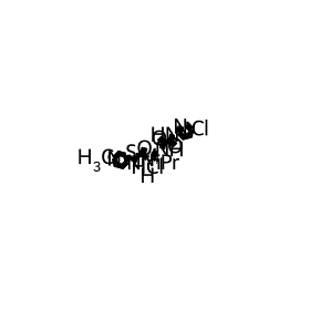 CC(C)[C@H](CNC(=O)C(=O)Nc1ccc(Cl)cn1)NC(=O)c1nc2c(s1)CN(C)CC2.Cl